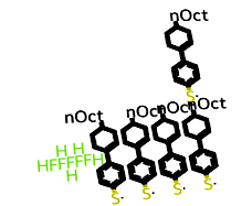 CCCCCCCCC1CC=C(c2ccc([S])cc2)CC1.CCCCCCCCC1CC=C(c2ccc([S])cc2)CC1.CCCCCCCCC1CC=C(c2ccc([S])cc2)CC1.CCCCCCCCC1CC=C(c2ccc([S])cc2)CC1.CCCCCCCCC1CC=C(c2ccc([S])cc2)CC1.F.F.F.F.F